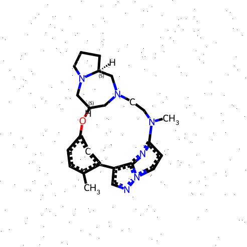 Cc1ccc2cc1-c1cnn3ccc(nc13)N(C)CCN1C[C@@H](CN3CCC[C@H]3C1)O2